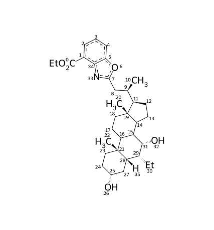 CCOC(=O)c1cccc2oc(C[C@@H](C)[C@H]3CCC4C5C(CC[C@@]43C)[C@@]3(C)CC[C@@H](O)C[C@H]3[C@@H](CC)[C@H]5O)nc12